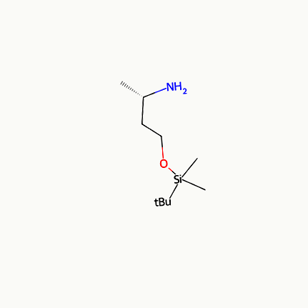 C[C@H](N)CCO[Si](C)(C)C(C)(C)C